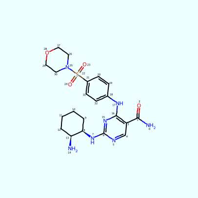 NC(=O)c1cnc(N[C@@H]2CCCC[C@@H]2N)nc1Nc1ccc(S(=O)(=O)N2CCOCC2)cc1